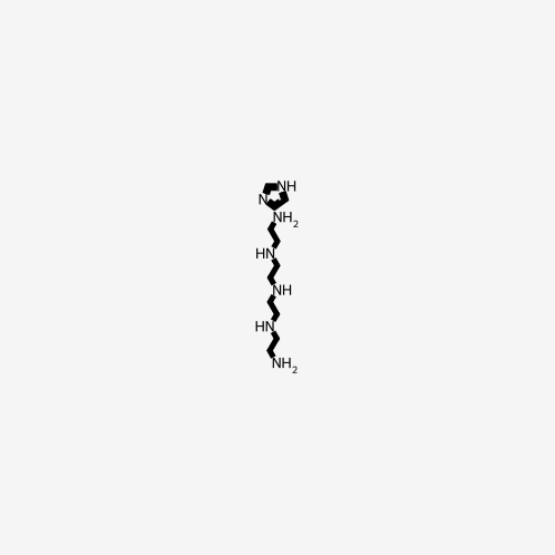 NCCNCCNCCNCCN.c1c[nH]cn1